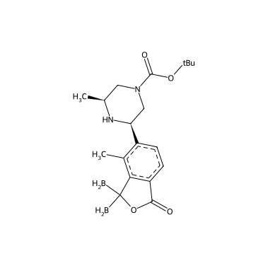 BC1(B)OC(=O)c2ccc([C@@H]3CN(C(=O)OC(C)(C)C)C[C@H](C)N3)c(C)c21